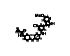 COc1cnc2[nH]cc(-c3cc(Cl)nc(NC4CCC(CC5CCC(NC(=O)C6CC6)CC5)CC4)c3)c2c1